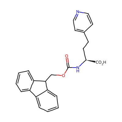 O=C(N[C@@H](CCc1ccncc1)C(=O)O)OCC1c2ccccc2-c2ccccc21